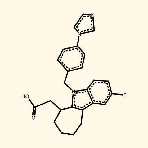 O=C(O)CC1CCCCc2c1n(Cc1ccc(-n3ccnc3)cc1)c1ccc(F)cc21